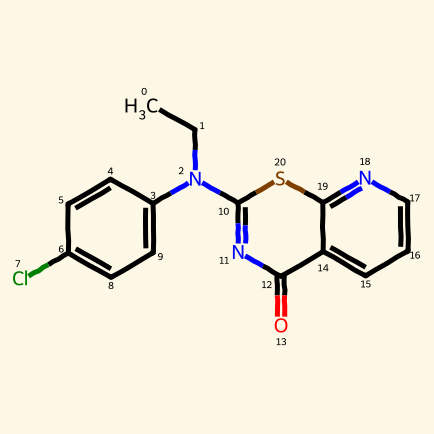 CCN(c1ccc(Cl)cc1)c1nc(=O)c2cccnc2s1